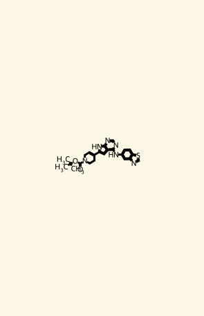 CC(C)(C)OC(=O)N1CC=C(c2cc3c(Nc4ccc5scnc5c4)ncnc3[nH]2)CC1